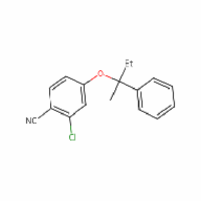 CCC(C)(Oc1ccc(C#N)c(Cl)c1)c1ccccc1